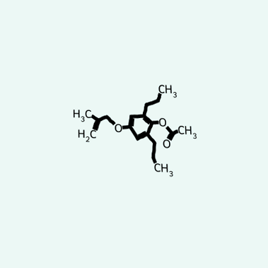 C=C(C)COc1cc(CCC)c(OC(C)=O)c(CCC)c1